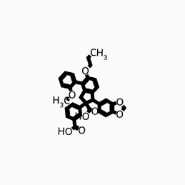 CCCOc1ccc2c(c1-c1ccccc1OC)CC(C(=O)O)(c1cccc(C(=O)O)c1)C2c1ccc2c(c1)OCO2